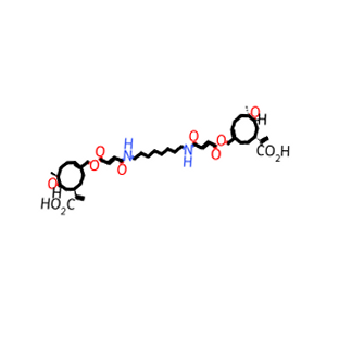 C=C(C(=O)O)[C@@H]1CC/C(COC(=O)/C=C/C(=O)NCCCCCCCCNC(=O)/C=C/C(=O)OC/C2=C/CC[C@@]3(C)O[C@H]3C[C@H](C(=C)C(=O)O)CC2)=C\CC[C@@]2(C)O[C@H]2C1